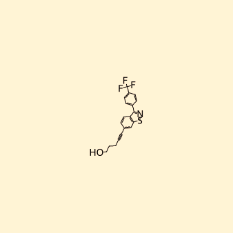 OCCCC#Cc1ccc2c(-c3ccc(C(F)(F)F)cc3)nsc2c1